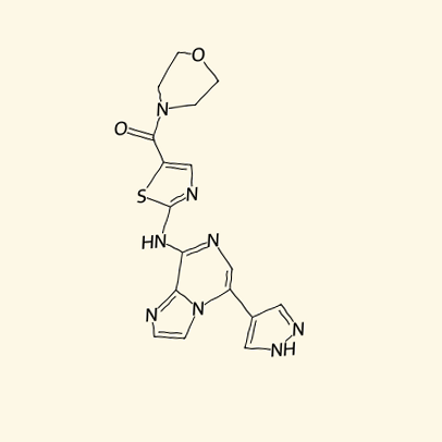 O=C(c1cnc(Nc2ncc(-c3cn[nH]c3)n3ccnc23)s1)N1CCOCC1